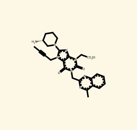 CC#CCn1c(N2CCC[C@@H](N)C2)nc2c1c(=O)n(Cc1nc(C)c3ccccc3n1)c(=O)n2CC(=O)OCC